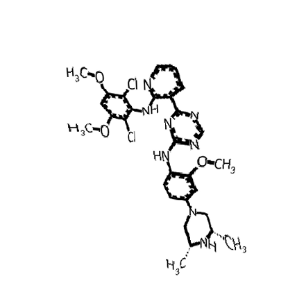 COc1cc(N2C[C@@H](C)N[C@@H](C)C2)ccc1Nc1ncnc(-c2cccnc2Nc2c(Cl)c(OC)cc(OC)c2Cl)n1